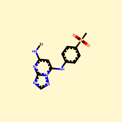 CCNc1cc(Nc2ccc(S(C)(=O)=O)cc2)n2ncnc2n1